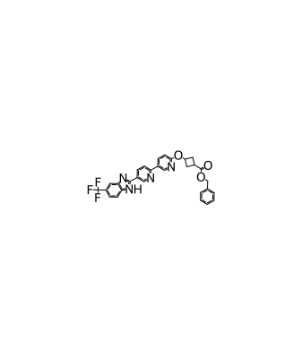 O=C(OCc1ccccc1)C1CC(Oc2ccc(-c3ccc(-c4nc5cc(C(F)(F)F)ccc5[nH]4)cn3)cn2)C1